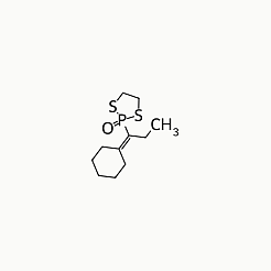 CCC(=C1CCCCC1)P1(=O)SCCS1